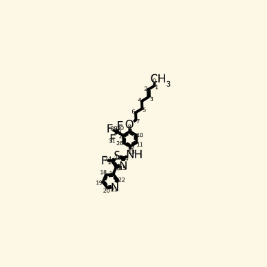 CCC=CCCCCOc1ccc(Nc2nc(-c3cccnc3)c(F)s2)cc1C(F)(F)F